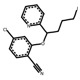 N#Cc1ccc(Cl)cc1OC(CCCI)c1ccccn1